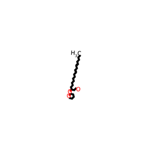 CCCCCC=CCC=CCCCCCCCC(CC=O)OC1CCCCO1